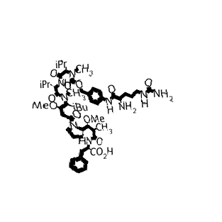 CC[C@H](C)C([C@@H](CC(=O)N1CCC[C@H]1[C@H](OC)[C@@H](C)C(=O)N[C@@H](Cc1ccccc1)C(=O)O)OC)N(C)C(=O)[C@@H](NC(=O)[C@H](C(C)C)N(C)C(=O)OCc1ccc(NC(=O)[C@@H](N)CCCNC(N)=O)cc1)C(C)C